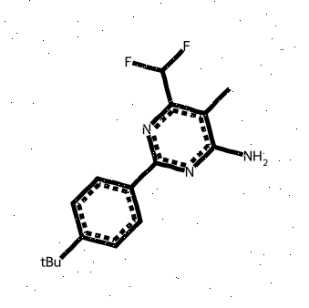 Cc1c(N)nc(-c2ccc(C(C)(C)C)cc2)nc1C(F)F